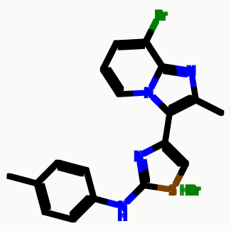 Br.Cc1ccc(Nc2nc(-c3c(C)nc4c(Br)cccn34)cs2)cc1